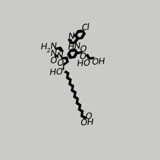 CCCCCCCCCCCCCCCC(=O)O.Nc1ccn([C@H]2CC[C@@H](CO)O2)c(=O)n1.O=C(OCC(O)CO)c1ccccc1Nc1ccnc2cc(Cl)ccc12